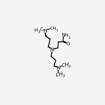 CN(C)CCCN(CCCN(C)C)CCC(N)=O